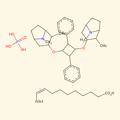 CC(=O)OC1C(OC2C(c3ccccc3)C(OC3CC4CCC(C3OC(C)=O)N4C)C2c2ccccc2)CC2CCC1N2C.CCCCCCCC/C=C\CCCCCCCC(=O)O.O=P(O)(O)O